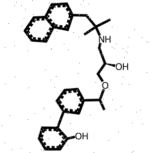 CC(OC[C@H](O)CNC(C)(C)Cc1ccc2ccccc2c1)c1cccc(-c2ccccc2O)c1